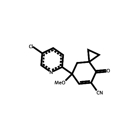 COC1(c2ccc(Cl)cn2)C=C(C#N)C(=O)C2(CC2)C1